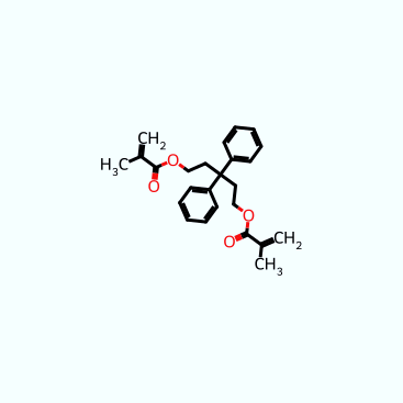 C=C(C)C(=O)OCCC(CCOC(=O)C(=C)C)(c1ccccc1)c1ccccc1